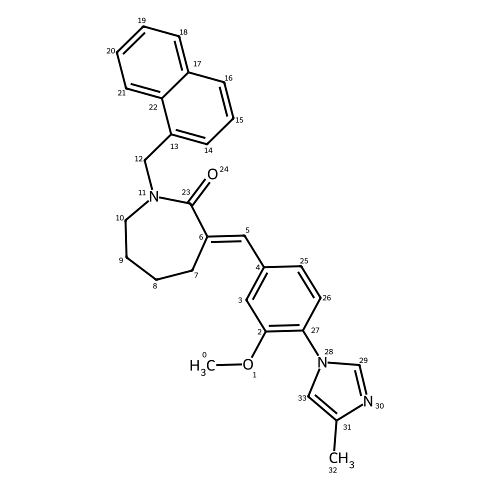 COc1cc(/C=C2\CCCCN(Cc3cccc4ccccc34)C2=O)ccc1-n1cnc(C)c1